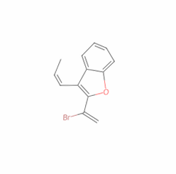 C=C(Br)c1oc2ccccc2c1/C=C\C